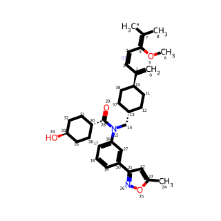 C=C(/C=C\C(OC)=C(C)C)[C@H]1CC[C@H](CN(c2cccc(-c3cc(C)on3)c2)C(=O)[C@H]2CC[C@H](O)CC2)CC1